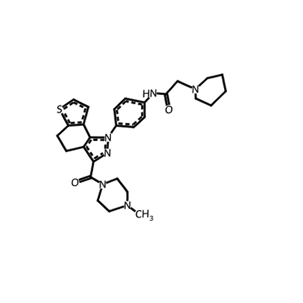 CN1CCN(C(=O)c2nn(-c3ccc(NC(=O)CN4CCCCC4)cc3)c3c2CCc2sccc2-3)CC1